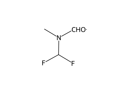 CN([C]=O)C(F)F